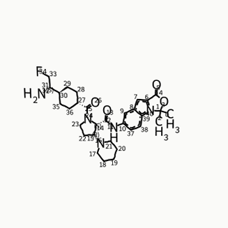 CC1(C)OC(=O)c2cc3cc(NC(=O)[C@@H]4[C@H](N5CCCCC5)CCN4C(=O)[C@H]4CC[C@H]([C@H](N)CF)CC4)ccc3n21